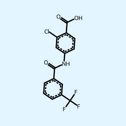 O=C(Nc1ccc(C(=O)O)c(Cl)c1)c1cccc(C(F)(F)F)c1